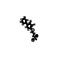 Cc1c(OCCCS(C)(=O)=O)ccc(-c2ccccc2)c1C